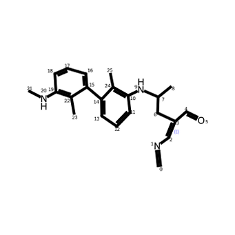 C=N/C=C(/C=O)CC(C)Nc1cccc(-c2cccc(NC)c2C)c1C